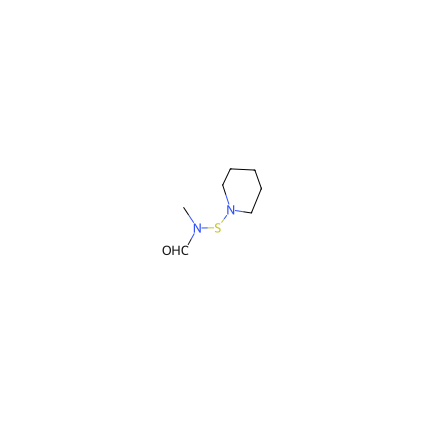 CN(C=O)SN1CCCCC1